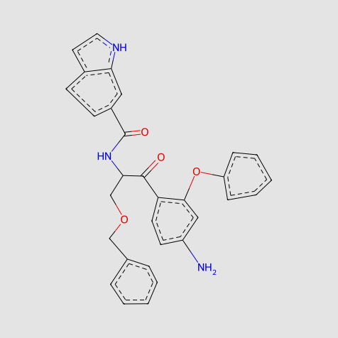 Nc1ccc(C(=O)C(COCc2ccccc2)NC(=O)c2ccc3cc[nH]c3c2)c(Oc2ccccc2)c1